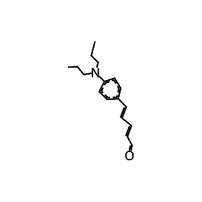 CCCN(CCC)c1ccc(/C=C/C=C/C=O)cc1